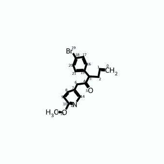 C=CCC(C(=O)Cc1ccc(OC)nc1)c1ccc(Br)cc1